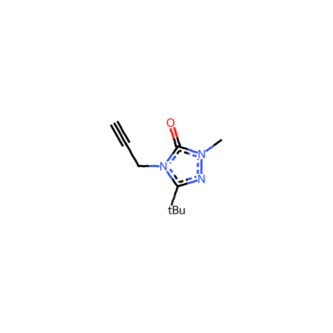 C#CCn1c(C(C)(C)C)nn(C)c1=O